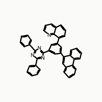 c1ccc(-c2nc(-c3ccccc3)nc(-c3cc(-c4cc5ccccc5c5ccccc45)cc(-c4cccc5cccnc45)c3)n2)cc1